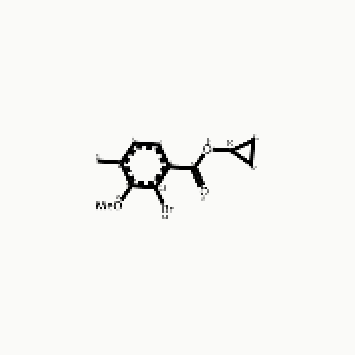 COc1c(C)ccc(C(=O)OC2CC2)c1Br